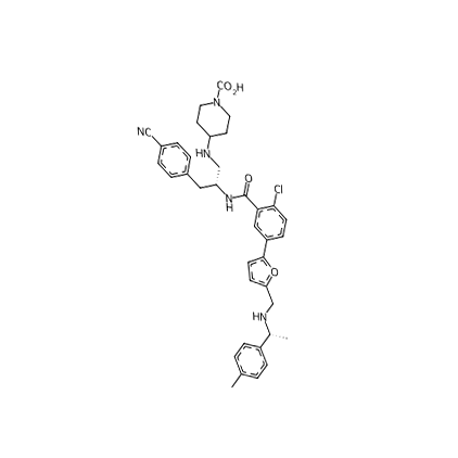 Cc1ccc([C@@H](C)NCc2ccc(-c3ccc(Cl)c(C(=O)N[C@@H](CNC4CCN(C(=O)O)CC4)Cc4ccc(C#N)cc4)c3)o2)cc1